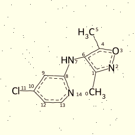 Cc1noc(C)c1Nc1cc(Cl)ccn1